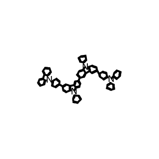 c1ccc(N(c2ccccc2)c2ccc(-c3ccc4c(c3)c3cc(-c5ccc6c(c5)c5cc(-c7ccc(-n8c9ccccc9c9ccccc98)cc7)ccc5n6-c5ccccc5)ccc3n4-c3ccccc3)cc2)cc1